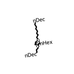 CCCCCCCCCCCCCCCCCCCN1C=CN(CCCCCCCCCCCCC)C1CCCCCC